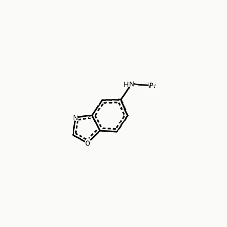 CC(C)Nc1ccc2ocnc2c1